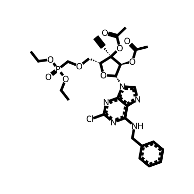 C#C[C@@]1(OC(C)=O)[C@@H](COCP(=O)(OCC)OCC)O[C@@H](n2cnc3c(NCc4ccccc4)nc(Cl)nc32)[C@@H]1OC(C)=O